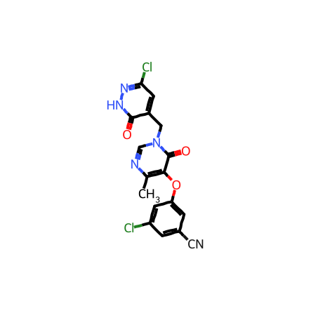 Cc1ncn(Cc2cc(Cl)n[nH]c2=O)c(=O)c1Oc1cc(Cl)cc(C#N)c1